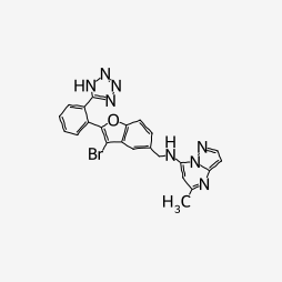 Cc1cc(NCc2ccc3oc(-c4ccccc4-c4nnn[nH]4)c(Br)c3c2)n2nccc2n1